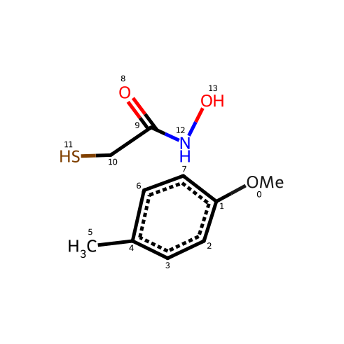 COc1ccc(C)cc1.O=C(CS)NO